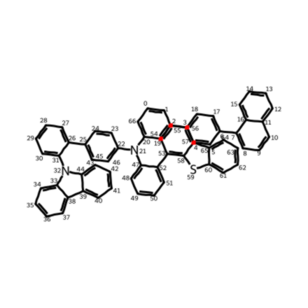 c1cc(-c2ccc(-c3cccc4ccccc34)cc2)cc(N(c2ccc(-c3ccccc3-n3c4ccccc4c4ccccc43)cc2)c2ccccc2-c2cccc3c2sc2ccccc23)c1